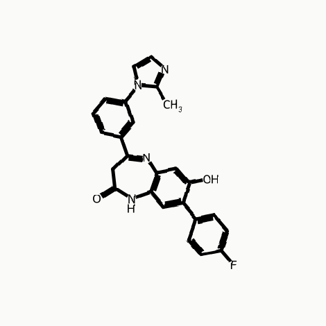 Cc1nccn1-c1cccc(C2=Nc3cc(O)c(-c4ccc(F)cc4)cc3NC(=O)C2)c1